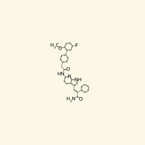 COc1ccc(F)cc1-c1ccc(CC(=O)Nc2ccc3c(/C=C(/C(N)=O)c4ccccc4)c[nH]c3n2)cc1